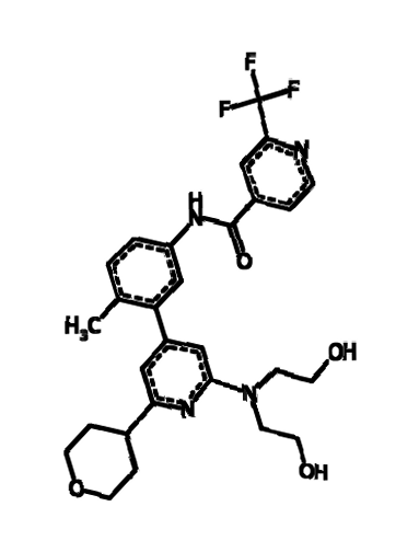 Cc1ccc(NC(=O)c2ccnc(C(F)(F)F)c2)cc1-c1cc(C2CCOCC2)nc(N(CCO)CCO)c1